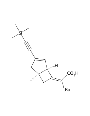 CC(C)(C)C(C(=O)O)=C1C[C@H]2CC(C#C[Si](C)(C)C)=C[C@@H]12